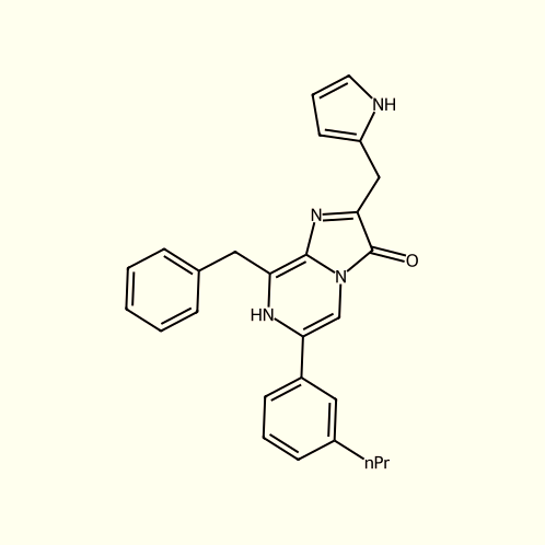 CCCc1cccc(-c2cn3c(=O)c(Cc4ccc[nH]4)nc-3c(Cc3ccccc3)[nH]2)c1